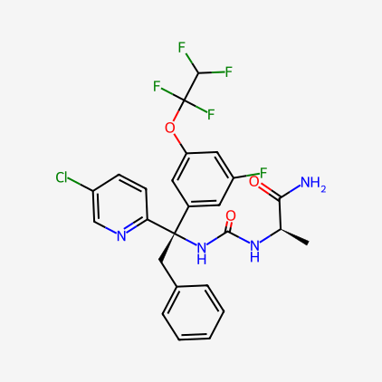 C[C@@H](NC(=O)N[C@@](Cc1ccccc1)(c1cc(F)cc(OC(F)(F)C(F)F)c1)c1ccc(Cl)cn1)C(N)=O